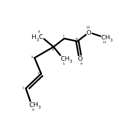 CC=CCC(C)(C)CC(=O)OC